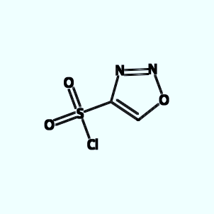 O=S(=O)(Cl)c1conn1